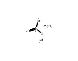 O=[N+]([O-])O.[Gd].[MgH2]